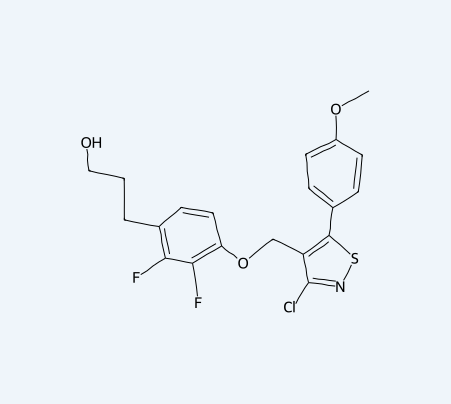 COc1ccc(-c2snc(Cl)c2COc2ccc(CCCO)c(F)c2F)cc1